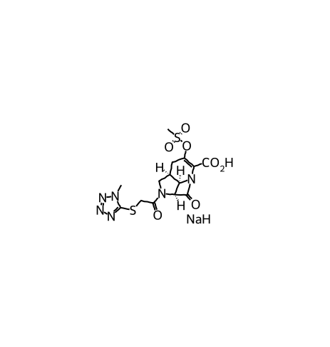 Cn1nnnc1SCC(=O)N1C[C@H]2CC(OS(C)(=O)=O)=C(C(=O)O)N3C(=O)[C@@H]1[C@@H]23.[NaH]